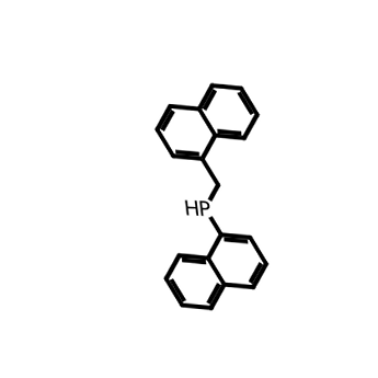 c1ccc2c(CPc3cccc4ccccc34)cccc2c1